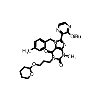 Cc1ccc(Cn2c(-c3nccnc3OCC(C)C)nc3c2c(=O)n(CCCOC2CCCCO2)c(=O)n3C)cc1